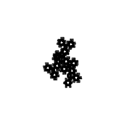 O=C(c1ccccc1)c1ccccc1-c1ccc([Si](c2ccccc2)(c2ccccc2)c2ccc(-n3c4ccccc4c4cc(N(c5ccccc5)c5ccccc5)ccc43)c(-n3c4ccccc4c4cc(N(c5ccccc5)c5ccccc5)ccc43)c2)cc1